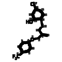 C=C(COc1ccc(C(F)(F)F)cc1)CSc1ccc(Cl)cc1O